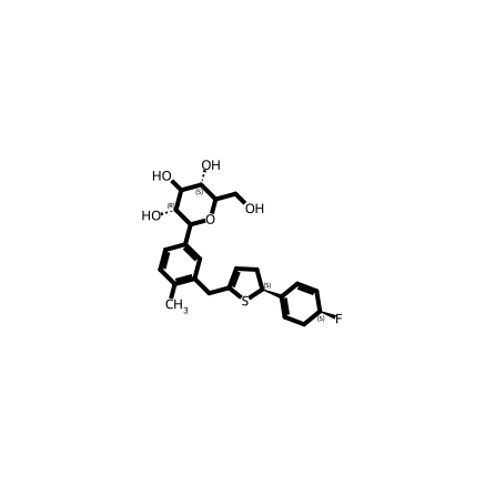 Cc1ccc(C2OC(CO)[C@@H](O)C(O)[C@H]2O)cc1CC1=CC[C@@H](C2=CC[C@H](F)C=C2)S1